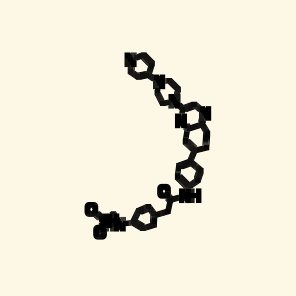 O=C(Cc1ccc(NC[SH](=O)=O)cc1)Nc1ccc(-c2ccc3ncc(N4CCN(c5ccncc5)CC4)nc3c2)cc1